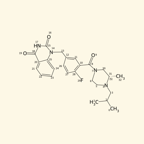 CC(C)CN1CCN(C(=O)c2cc(Cn3c(=O)[nH]c(=O)c4ccccc43)ccc2F)C[C@@H]1C